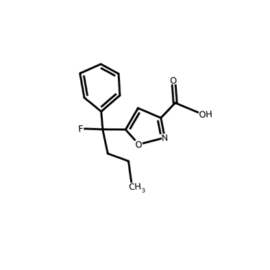 CCCC(F)(c1ccccc1)c1cc(C(=O)O)no1